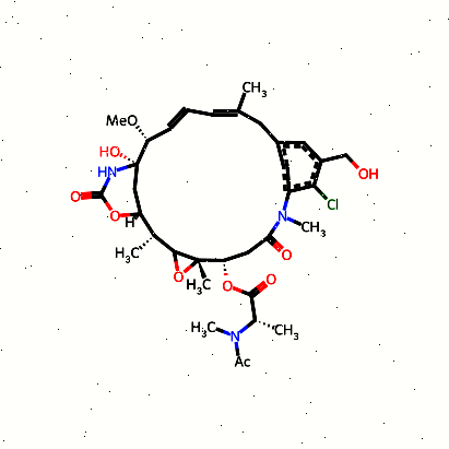 CO[C@@H]1/C=C/C=C(\C)Cc2cc(CO)c(Cl)c(c2)N(C)C(=O)C[C@H](OC(=O)[C@H](C)N(C)C(C)=O)[C@]2(C)OC2[C@H](C)[C@@H]2C[C@@]1(O)NC(=O)O2